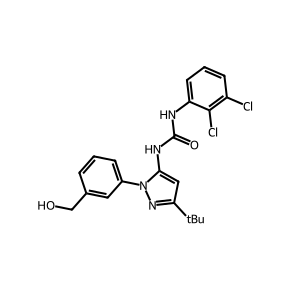 CC(C)(C)c1cc(NC(=O)Nc2cccc(Cl)c2Cl)n(-c2cccc(CO)c2)n1